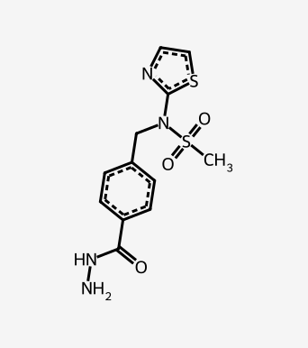 CS(=O)(=O)N(Cc1ccc(C(=O)NN)cc1)c1nccs1